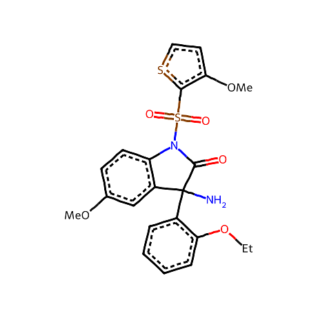 CCOc1ccccc1C1(N)C(=O)N(S(=O)(=O)c2sccc2OC)c2ccc(OC)cc21